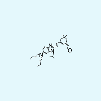 CCCCN(CCCC)c1ccc2nc(/C=C/C3=CC(=CC=O)CC(C)(C)C3)n(CC(C)C)c2c1